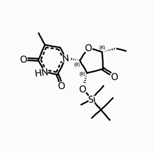 CC[C@H]1O[C@@H](n2cc(C)c(=O)[nH]c2=O)[C@@H](O[Si](C)(C)C(C)(C)C)C1=O